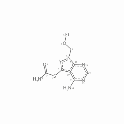 CCOCn1cc(SC(N)=O)c2c(N)ncnc21